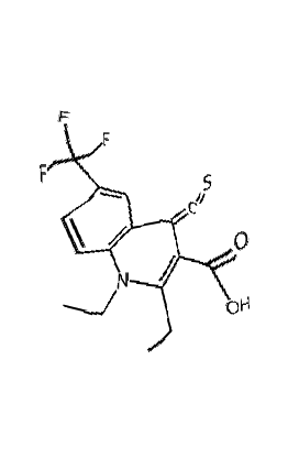 CCC1=C(C(=O)O)C(=C=S)c2cc(C(F)(F)F)ccc2N1CC